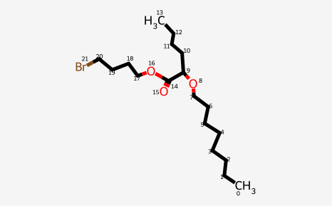 CCCCCCCCOC(CCCC)C(=O)OCCCCBr